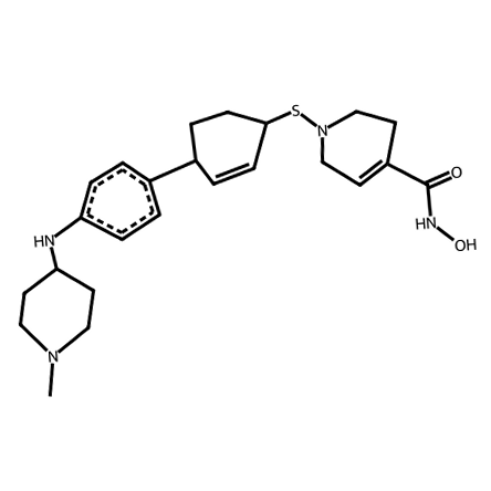 CN1CCC(Nc2ccc(C3C=CC(SN4CC=C(C(=O)NO)CC4)CC3)cc2)CC1